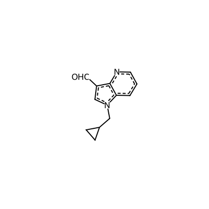 O=Cc1cn(CC2CC2)c2cccnc12